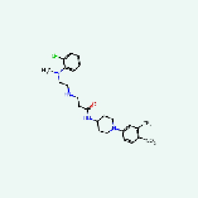 CN(CCNCCC(=O)NC1CCN(c2ccc([N+](=O)[O-])c(C(F)(F)F)c2)CC1)c1ccccc1Cl